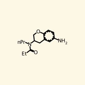 CCCN(C(=O)CC)C1COc2ccc(N)cc2C1